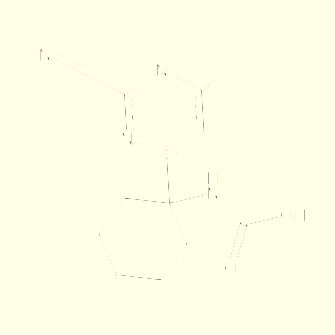 N#Cc1nccc(C2(NC(=O)O)CCCCC2)n1